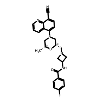 C[C@@H]1CN(c2ccc(C#N)c3ncccc23)C[C@H](CN2CC(NC(=O)c3ccc(F)cc3)C2)O1